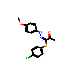 COc1ccc(N/N=C(/Sc2ccc(Cl)cc2)C(C)=O)cc1